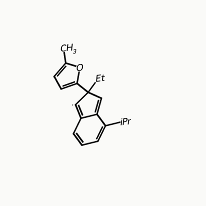 CCC1(c2ccc(C)o2)[C]=c2cccc(C(C)C)c2=C1